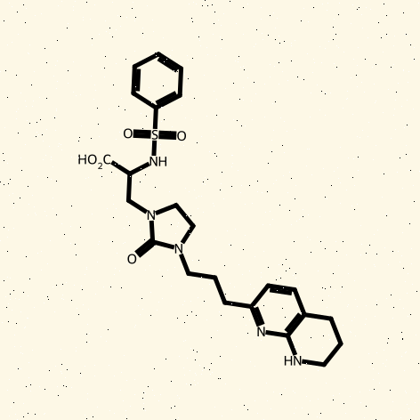 O=C(O)C(CN1CCN(CCCc2ccc3c(n2)NCCC3)C1=O)NS(=O)(=O)c1ccccc1